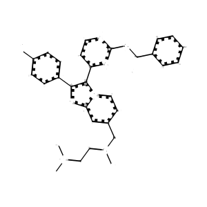 C[C@H](Nc1nccc(-c2c(-c3ccc(F)cc3)nc3cc(CN(C)CCN(C)C)ccn23)n1)c1ccccc1